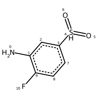 Nc1cc([SH](=O)=O)ccc1F